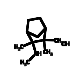 CNC1(C)C2CCC(C2)C1(C)C.Cl